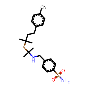 CC(C)(CCc1ccc(C#N)cc1)SC(C)(C)NCc1ccc(S(N)(=O)=O)cc1